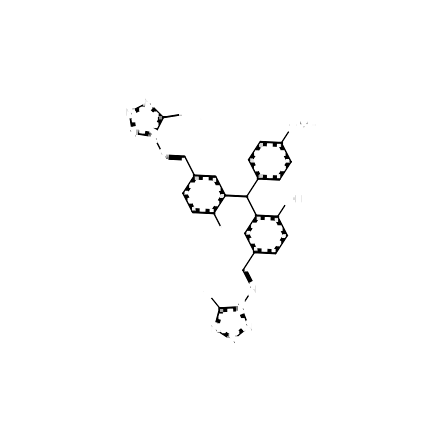 COc1ccc(C(c2cc(/C=N/n3nnnc3C)ccc2O)c2cc(/C=N/n3nnnc3C)ccc2O)cc1